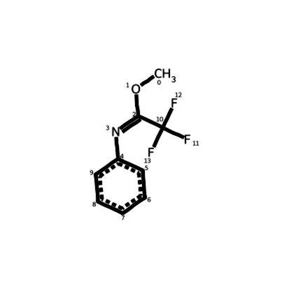 CO/C(=N/c1ccccc1)C(F)(F)F